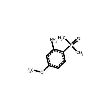 CP(C)(=O)c1ccc(OC(F)(F)F)cc1N